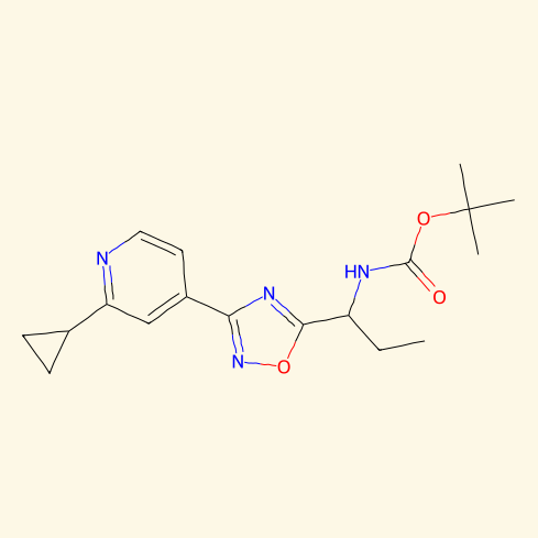 CCC(NC(=O)OC(C)(C)C)c1nc(-c2ccnc(C3CC3)c2)no1